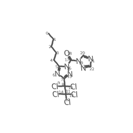 CCCCCc1nc(C(Cl)(Cl)C(Cl)(Cl)Cl)nn1C(=O)n1cncn1